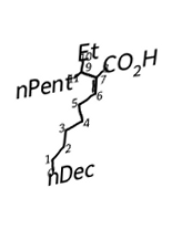 CCCCCCCCCCCCCCCC=C(C(=O)O)C(CC)CCCCC